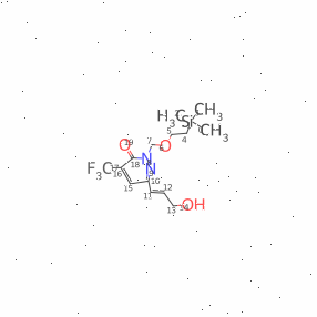 C[Si](C)(C)CCOCn1nc(/C=C/CO)cc(C(F)(F)F)c1=O